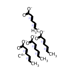 C/C=C/C=C/C(=O)[O-].C/C=C/C=C/C(=O)[O-].C/C=C/C=C/C(=O)[O-].C/C=C/C=C/C(=O)[O-].[C+4]